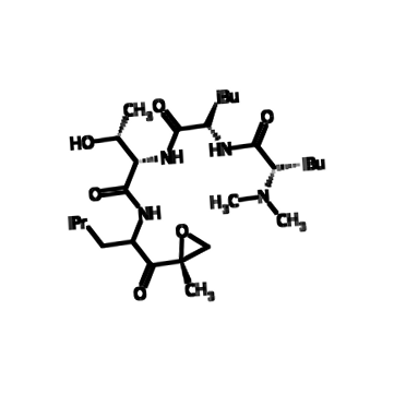 CC[C@H](C)[C@H](NC(=O)[C@H]([C@@H](C)CC)N(C)C)C(=O)N[C@H](C(=O)NC(CC(C)C)C(=O)[C@@]1(C)CO1)[C@@H](C)O